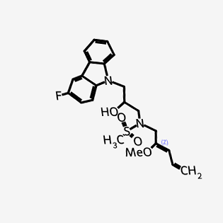 C=C/C=C(/CN(CC(O)Cn1c2ccccc2c2cc(F)ccc21)S(C)(=O)=O)OC